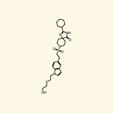 O=C1NC(C2CCCCC2)=NC12CCN(S(=O)(=O)CCc1ccc3c(ccn3CCOCCO)c1)CC2